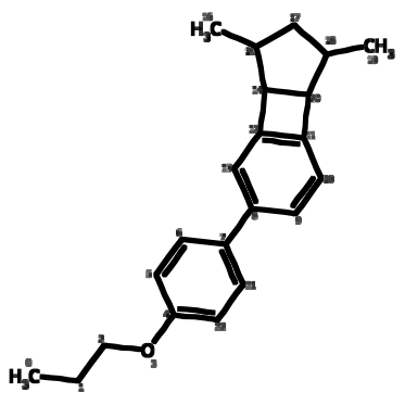 CCCOc1ccc(-c2ccc3c(c2)C2C(C)CC(C)C32)cc1